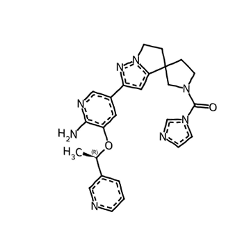 C[C@@H](Oc1cc(-c2cc3n(n2)CCC32CCN(C(=O)n3ccnc3)C2)cnc1N)c1cccnc1